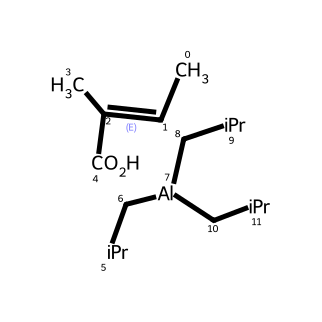 C/C=C(\C)C(=O)O.CC(C)[CH2][Al]([CH2]C(C)C)[CH2]C(C)C